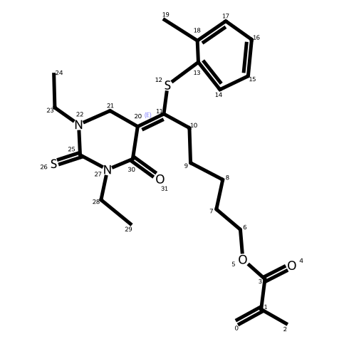 C=C(C)C(=O)OCCCCC/C(Sc1ccccc1C)=C1/CN(CC)C(=S)N(CC)C1=O